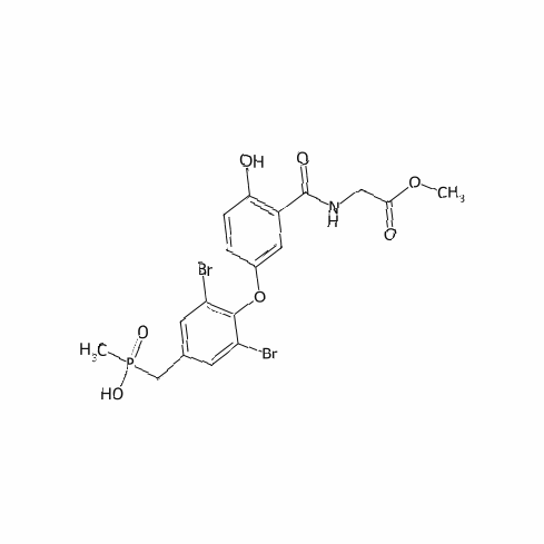 COC(=O)CNC(=O)c1cc(Oc2c(Br)cc(CP(C)(=O)O)cc2Br)ccc1O